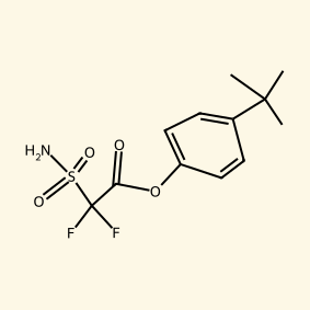 CC(C)(C)c1ccc(OC(=O)C(F)(F)S(N)(=O)=O)cc1